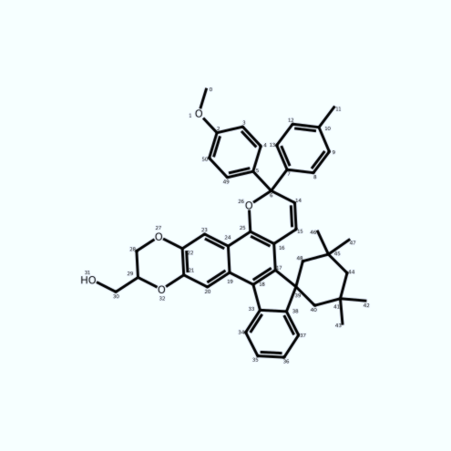 COc1ccc(C2(c3ccc(C)cc3)C=Cc3c4c(c5cc6c(cc5c3O2)OCC(CO)O6)-c2ccccc2C42CC(C)(C)CC(C)(C)C2)cc1